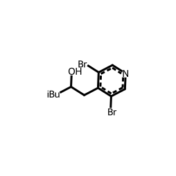 CCC(C)C(O)Cc1c(Br)cncc1Br